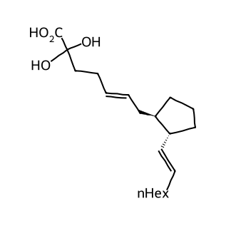 CCCCCCC=C[C@H]1CCC[C@@H]1CC=CCCC(O)(O)C(=O)O